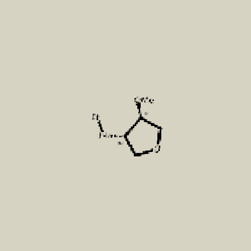 CCN[C@H]1COC[C@@H]1OC